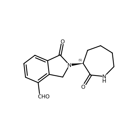 O=Cc1cccc2c1CN([C@H]1CCCCNC1=O)C2=O